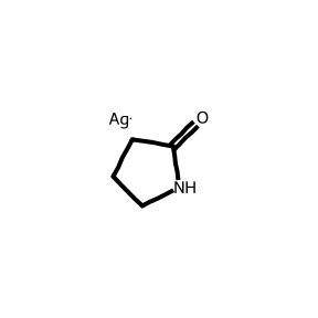 O=C1CCCN1.[Ag]